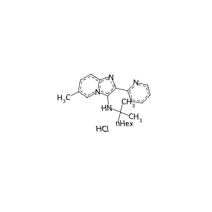 CCCCCCC(C)(C)Nc1c(-c2ccccn2)nc2ccc(C)cn12.Cl